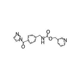 O=C(NCc1ccc(C(=O)n2ccnc2)cc1)OCc1cccnc1